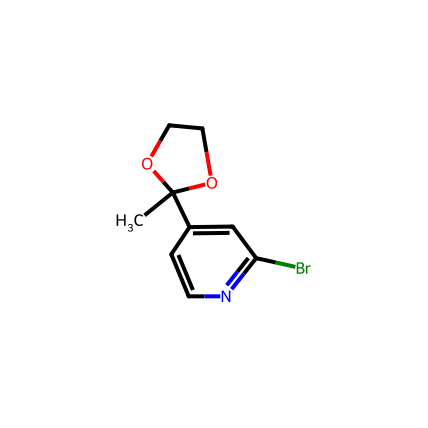 CC1(c2ccnc(Br)c2)OCCO1